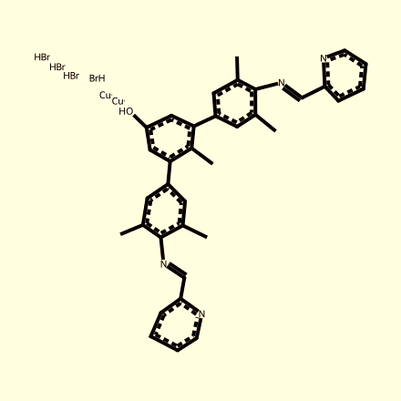 Br.Br.Br.Br.Cc1cc(-c2cc(O)cc(-c3cc(C)c(N=Cc4ccccn4)c(C)c3)c2C)cc(C)c1N=Cc1ccccn1.[Cu].[Cu]